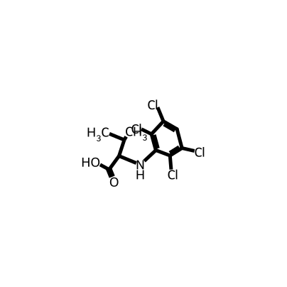 CC(C)C(Nc1c(Cl)c(Cl)cc(Cl)c1Cl)C(=O)O